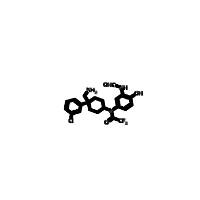 NCC1(c2cccc(Cl)c2)CCC(N(C(=O)C(F)(F)F)c2ccc(O)c(NC=O)c2)CC1